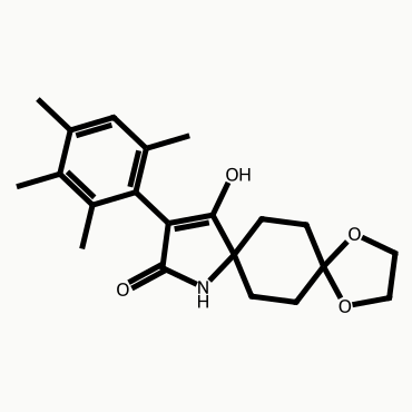 Cc1cc(C)c(C2=C(O)C3(CCC4(CC3)OCCO4)NC2=O)c(C)c1C